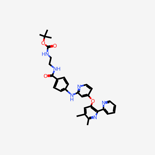 Cc1cc(Oc2ccnc(Nc3ccc(C(=O)NCCNC(=O)OC(C)(C)C)cc3)c2)c(-c2ccccn2)nc1C